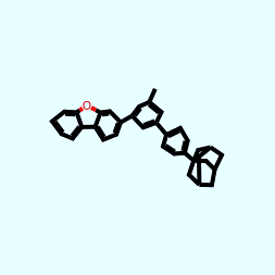 Cc1cc(-c2ccc(C34CC5CC(CC(C5)C3)C4)cc2)cc(-c2ccc3c(c2)oc2ccccc23)c1